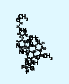 COCCn1cc(-c2cnc(N)c3c(-c4ccc(NS(=O)(=O)C(F)F)c(O[C@@H](C)c5ccc(F)cc5)c4)nn(C)c23)cn1